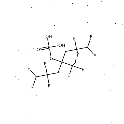 O=P(O)(O)OC(CC(F)(F)C(F)F)(CC(F)(F)C(F)F)C(F)(F)F